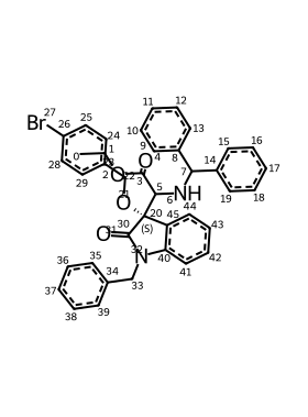 CCOC(=O)C(NC(c1ccccc1)c1ccccc1)[C@]1(OCc2ccc(Br)cc2)C(=O)N(Cc2ccccc2)c2ccccc21